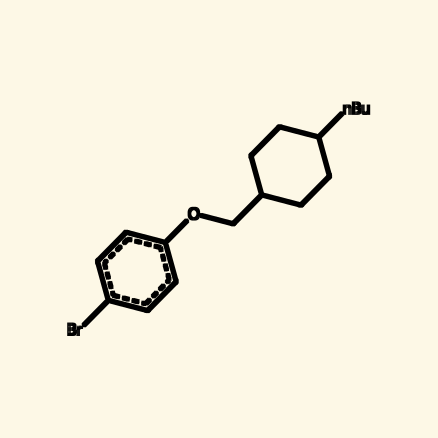 CCCCC1CCC(COc2ccc(Br)cc2)CC1